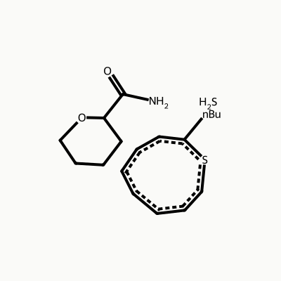 CCCCc1cccccccs1.NC(=O)C1CCCCO1.S